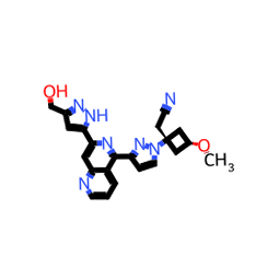 CO[C@H]1C[C@](CC#N)(n2ccc(-c3nc(-c4cc(CO)n[nH]4)cc4ncccc34)n2)C1